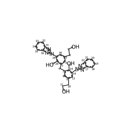 OCCc1cc(Cc2cc(CCO)cc(-n3n4c5ccccc5n34)c2O)c(O)c(-n2n3c4ccccc4n23)c1